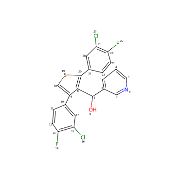 OC(c1cccnc1)c1c(-c2ccc(F)c(Cl)c2)csc1-c1ccc(F)c(Cl)c1